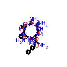 CC(C)C[C@@H]1NC(=O)[C@H](CCN)NC(=O)[C@H](CCN)NC(=O)[C@H](CC(C)C)NC(=O)[C@@H](Cc2ccccc2)NC(=O)[C@H](CCN)NC(=O)[C@@H](NC(=O)[C@@H](CCN)NC(=O)c2ccc(-c3ccccc3)cc2)CCNC1=O